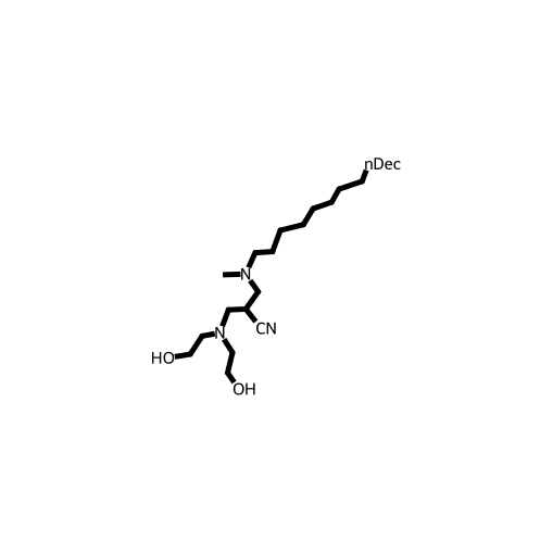 CCCCCCCCCCCCCCCCCCN(C)CC(C#N)CN(CCO)CCO